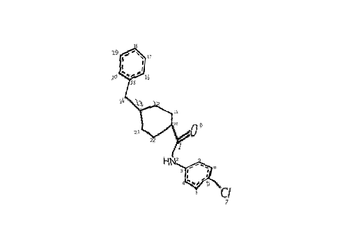 O=C(Nc1ccc(Cl)cc1)C1CCC(Cc2ccccc2)CC1